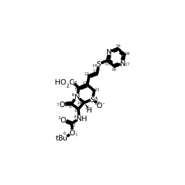 CC(C)(C)OC(=O)NC1C(=O)N2C(C(=O)O)=C(C=CSc3cnccn3)C[S+]([O-])[C@@H]12